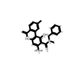 C=C(C)c1ccc(C)cc1-c1c(O)cc(CCCCC)c(C(=O)N(C)Cc2ccccc2)c1O